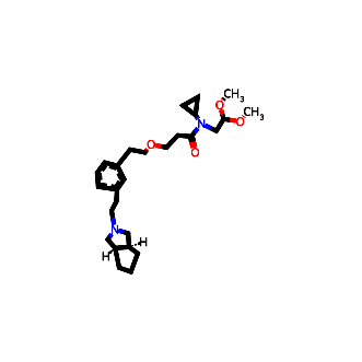 COC(CN(C(=O)CCOCCc1cccc(CCN2C[C@H]3CCC[C@H]3C2)c1)C1CC1)OC